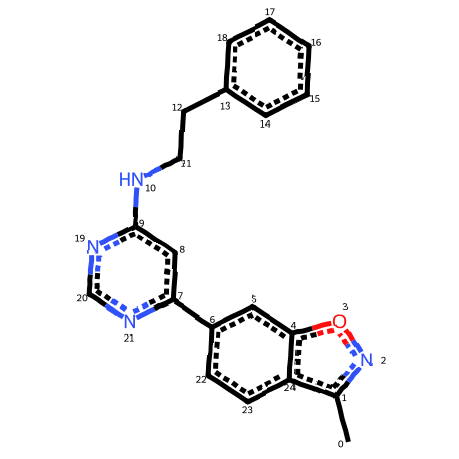 Cc1noc2cc(-c3cc(NCCc4ccccc4)ncn3)ccc12